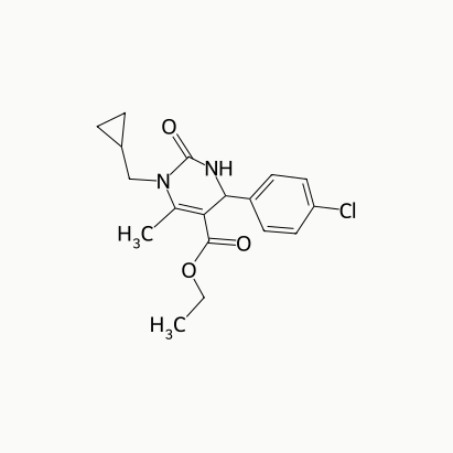 CCOC(=O)C1=C(C)N(CC2CC2)C(=O)NC1c1ccc(Cl)cc1